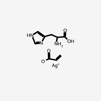 C=CC(=O)[O-].NC(Cc1c[nH]cn1)C(=O)O.[Ag+]